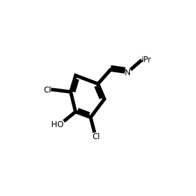 CC(C)N=Cc1cc(Cl)c(O)c(Cl)c1